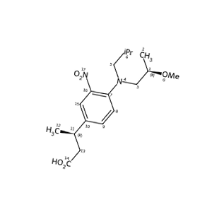 CO[C@H](C)CN(CC(C)C)c1ccc([C@H](C)CC(=O)O)cc1[N+](=O)[O-]